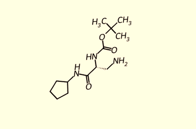 CC(C)(C)OC(=O)N[C@H](CN)C(=O)NC1CCCC1